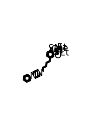 CCN(CC)S(=O)(=O)c1cc(CCCCCN2CCN(c3ccccc3)CC2)ccc1SC